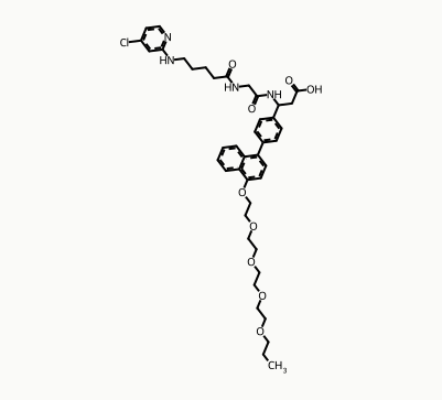 CCCOCCOCCOCCOCCOc1ccc(-c2ccc(C(CC(=O)O)NC(=O)CNC(=O)CCCCNc3cc(Cl)ccn3)cc2)c2ccccc12